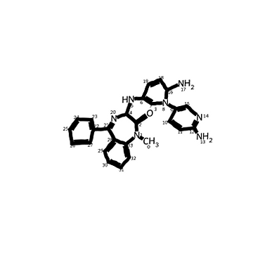 CN1C(=O)C(NC2=CN(c3ccc(N)nc3)C(N)C=C2)N=C(c2ccccc2)c2ccccc21